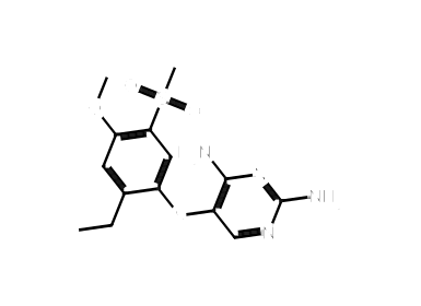 CCc1cc(OC)c(S(C)(=O)=O)cc1Sc1cnc(N)nc1N